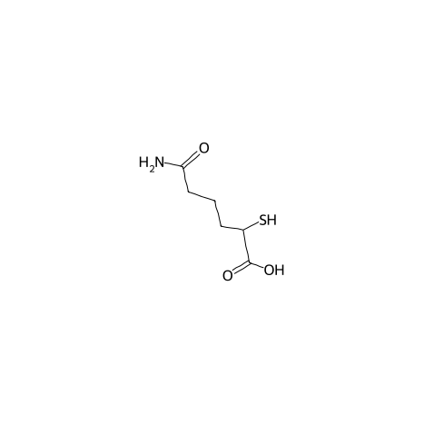 NC(=O)CCCC(S)C(=O)O